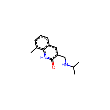 Cc1cccc2cc(CNC(C)C)c(=O)[nH]c12